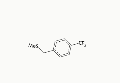 CSCc1ccc(C(F)(F)F)cc1